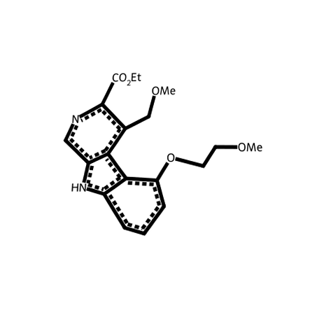 CCOC(=O)c1ncc2[nH]c3cccc(OCCOC)c3c2c1COC